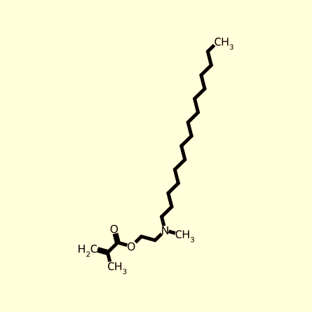 C=C(C)C(=O)OCCN(C)CCCCCCCCCCCCCCCC